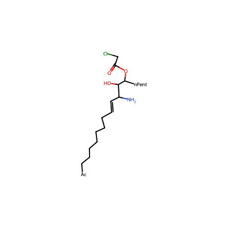 CCCCCC(OC(=O)CCl)C(O)C(N)C=CCCCCCCCC(C)=O